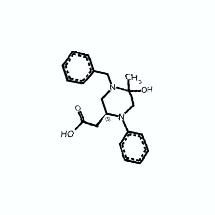 CC1(O)CN(c2ccccc2)[C@@H](CC(=O)O)CN1Cc1ccccc1